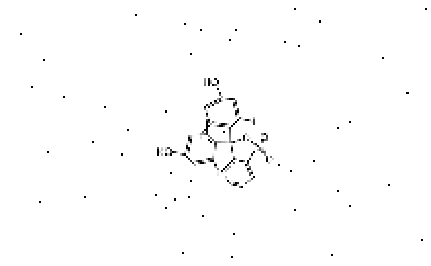 O=S1(=O)OC(c2c(I)cc(O)cc2I)(c2c(I)cc(O)cc2I)c2ccccc21